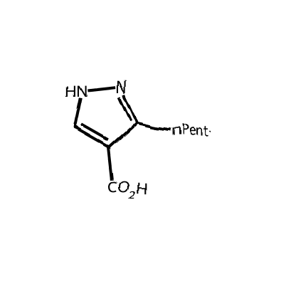 CCCC[CH]c1n[nH]cc1C(=O)O